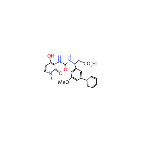 CCOC(=O)CC(NC(=O)Nc1c(O)ccn(C)c1=O)c1cc(OC)cc(-c2ccccc2)c1